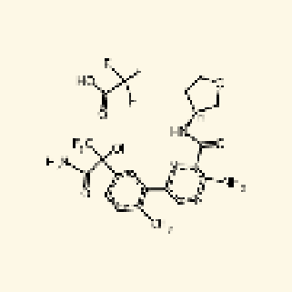 Cc1ccc(C(O)(C(N)=O)C(F)(F)F)cc1-c1cnc(N)c(C(=O)N[C@H]2CCOC2)n1.O=C(O)C(F)(F)F